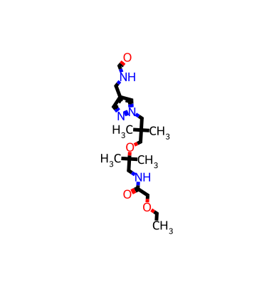 CCOCC(=O)NCC(C)(C)OCC(C)(C)Cn1cc(CNC=O)cn1